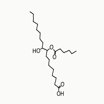 CCCCCCCCC(O)C(CCCCCCCC(=O)O)OC(=O)CCCCC